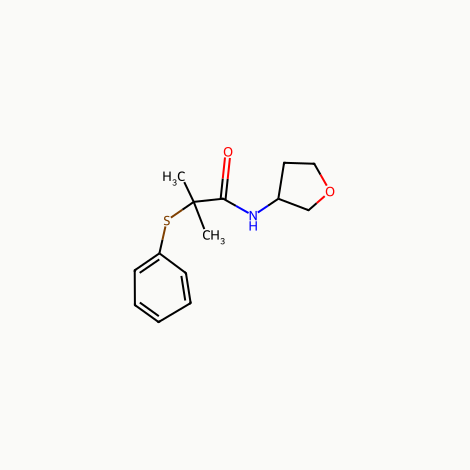 CC(C)(Sc1ccccc1)C(=O)NC1CCOC1